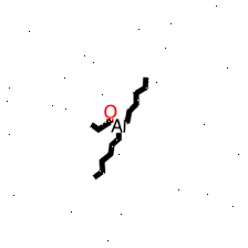 CCCCC[CH2][Al]([CH2]CCCCC)[C](=O)CC